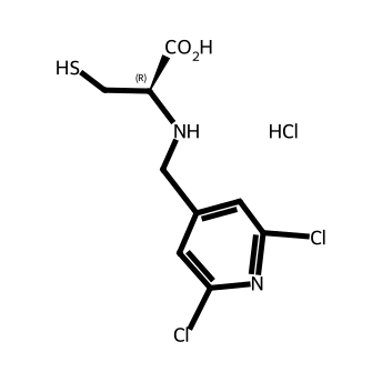 Cl.O=C(O)[C@H](CS)NCc1cc(Cl)nc(Cl)c1